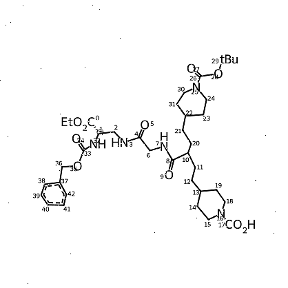 CCOC(=O)[C@H](CNC(=O)CNC(=O)C(CCC1CCN(C(=O)O)CC1)CCC1CCN(C(=O)OC(C)(C)C)CC1)NC(=O)OCc1ccccc1